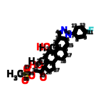 C[C@]12Cc3cnn(-c4ccc(F)cc4)c3C=C1CCC1C2[C@@H](O)C[C@@]2(C)C1CC[C@]2(O)C(=O)COS(C)(=O)=O